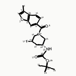 Cc1coc2cc(C(=O)N3C[C@H](F)C[C@@H](NC(=O)OC(C)(C)C)C3)ccc12